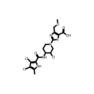 COCc1nc(N2CCC(NC(=O)c3[nH]c(C)c(Cl)c3Cl)C(Cl)C2)sc1C(=O)O